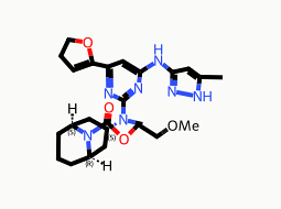 COCCOC(=O)N1[C@@H]2CCC[C@H]1C[C@H](N(C)c1nc(Nc3cc(C)[nH]n3)cc(C3=CCCO3)n1)C2